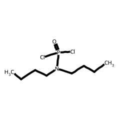 CCCCN(CCCC)P(=O)(Cl)Cl